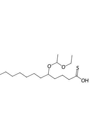 CCCCCCCC(CCCC(O)=S)OC(C)OCC